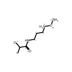 CC(Cl)C(=O)NCCC[SiH2]O[SiH3]